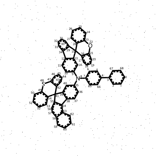 c1ccc(-c2ccc(N(c3ccc4c(c3)C3(c5ccccc5Oc5ccccc53)c3ccccc3-4)c3ccc4c(c3)C3(c5ccccc5Sc5ccccc53)c3ccc5ccccc5c3-4)cc2)cc1